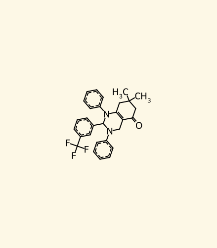 CC1(C)CC(=O)C2=C(C1)N(c1ccccc1)C(c1cccc(C(F)(F)F)c1)N(c1ccccc1)C2